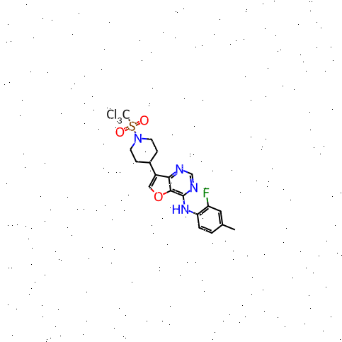 Cc1ccc(Nc2ncnc3c(C4CCN(S(=O)(=O)C(Cl)(Cl)Cl)CC4)coc23)c(F)c1